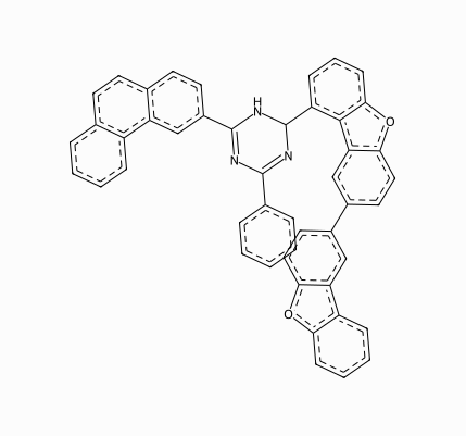 c1ccc(C2=NC(c3cccc4oc5ccc(-c6ccc7oc8ccccc8c7c6)cc5c34)NC(c3ccc4ccc5ccccc5c4c3)=N2)cc1